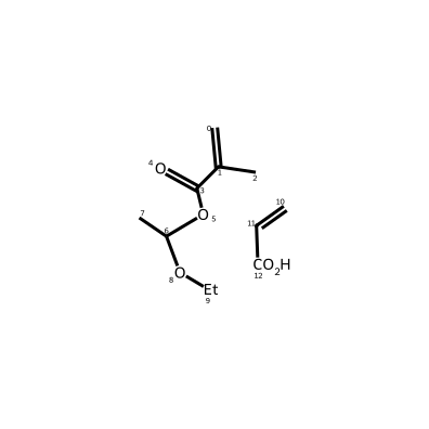 C=C(C)C(=O)OC(C)OCC.C=CC(=O)O